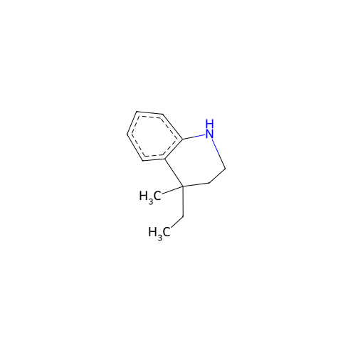 CCC1(C)CCNc2ccccc21